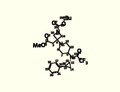 COC(=O)CC1(N2CCC(N(C(=O)C(F)(F)F)[C@@H]3C[C@H]3c3ccccc3)CC2)CN(C(=O)OC(C)(C)C)C1